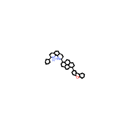 C1=CC(c2ccccc2)Nc2c1ccc1c2NC(c2ccc3ccc4c(-c5ccc6oc7ccccc7c6c5)ccc5ccc2c3c54)C=C1